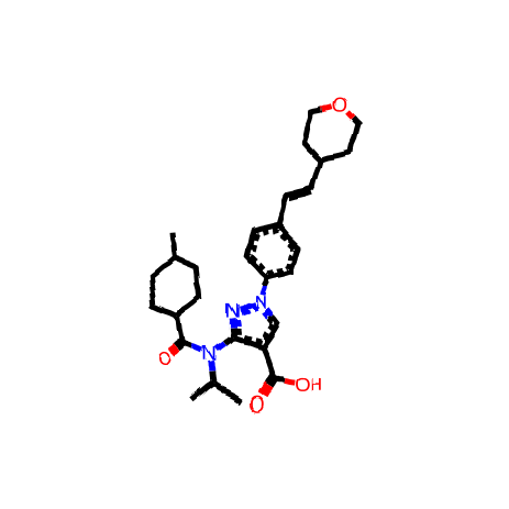 CC1CCC(C(=O)N(c2nn(-c3ccc(C=CC4CCOCC4)cc3)cc2C(=O)O)C(C)C)CC1